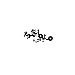 COc1cc(Nc2ncc(-c3csc(C(N)=O)c3)n3ccnc23)ccc1C(=O)NCc1ccccc1